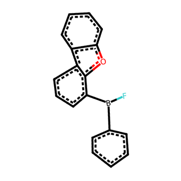 FB(c1ccccc1)c1cccc2c1oc1ccccc12